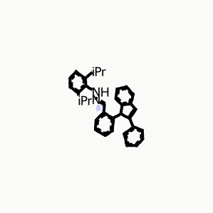 CC(C)c1cccc(C(C)C)c1N/N=C/c1ccccc1C1C(c2ccccc2)=Cc2ccccc21